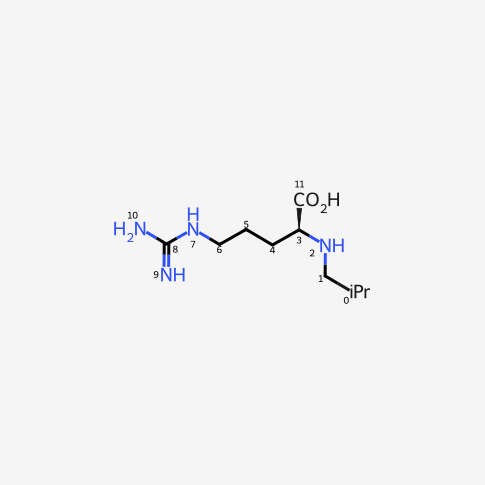 CC(C)CN[C@@H](CCCNC(=N)N)C(=O)O